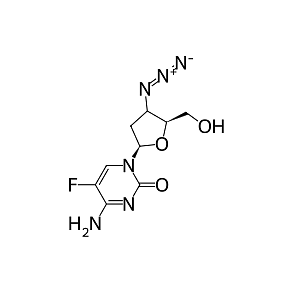 [N-]=[N+]=NC1C[C@H](n2cc(F)c(N)nc2=O)O[C@@H]1CO